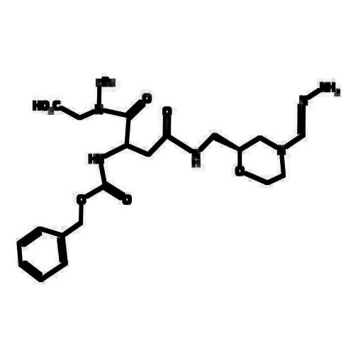 CCCCN(CC(=O)O)C(=O)C(CC(=O)NC[C@H]1CN(C=NN)CCO1)NC(=O)OCc1ccccc1